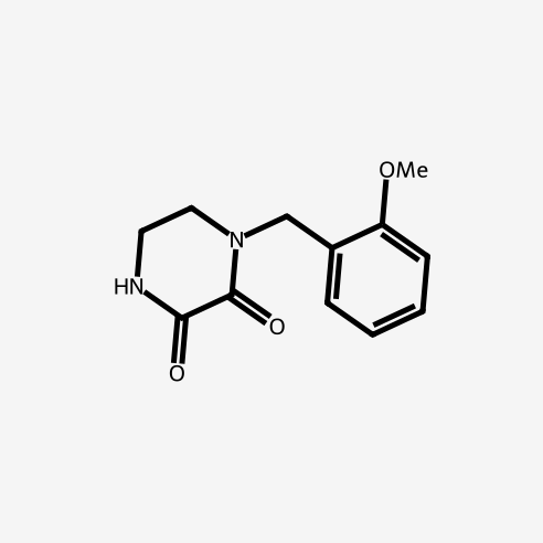 COc1ccccc1CN1CCNC(=O)C1=O